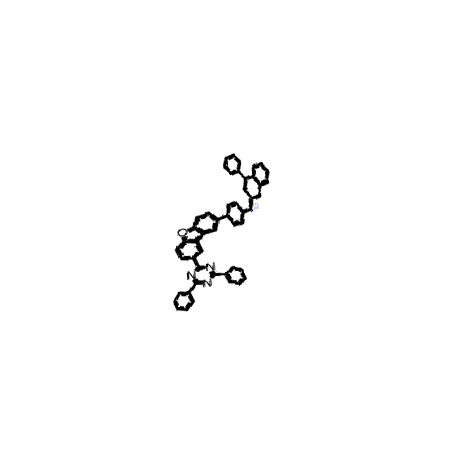 C1=C(c2ccccc2)c2ccccc2C/C1=C/c1ccc(-c2ccc3oc4ccc(-c5nc(-c6ccccc6)nc(-c6ccccc6)n5)cc4c3c2)cc1